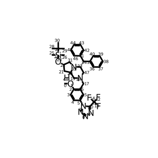 COc1ccc(-n2nnnc2C(F)(F)F)cc1CN1C[C@@H]2C[C@@H](O[Si](C)(C)C(C)(C)C)CN2[C@H](C(c2ccccc2)c2ccccc2)C1